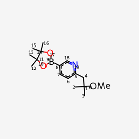 COC(C)(C)Cc1ccc(B2OC(C)(C)C(C)(C)O2)cn1